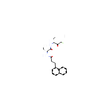 CC(C)C[C@H](NC(=O)CCc1cccc2ccccc12)C(=O)N[C@@H](CC(=O)O)C(=O)CF